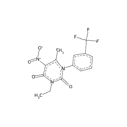 CCn1c(=O)c([N+](=O)[O-])c(C)n(-c2cccc(C(F)(F)F)c2)c1=O